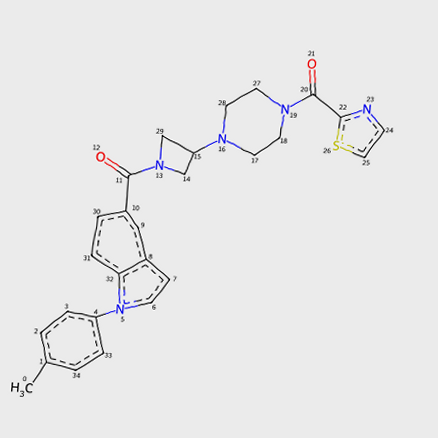 Cc1ccc(-n2ccc3cc(C(=O)N4CC(N5CCN(C(=O)c6nccs6)CC5)C4)ccc32)cc1